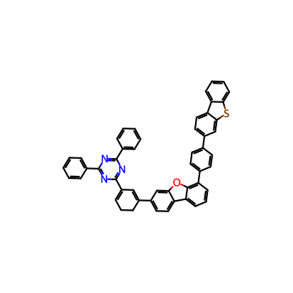 C1=C(c2ccc3c(c2)oc2c(-c4ccc(-c5ccc6c(c5)sc5ccccc56)cc4)cccc23)CCC=C1c1nc(-c2ccccc2)nc(-c2ccccc2)n1